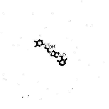 Cc1ccc(NCC(O)CN2CC3CN(C(=O)c4c(C)cccc4C)CC3C2)cc1C